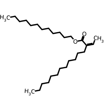 CC=C(CCCCCCCCCCCC)C(=O)OCCCCCCCCCCCC